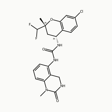 CN1C(=O)NCc2c(NC(=O)N[C@@H]3C[C@](C)(C(F)F)Oc4cc(Cl)ccc43)cccc21